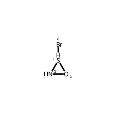 Br[SH]1NO1